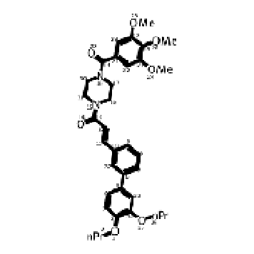 CCCOc1ccc(-c2cccc(C=CC(=O)N3CCN(C(=O)c4cc(OC)c(OC)c(OC)c4)CC3)c2)cc1OCCC